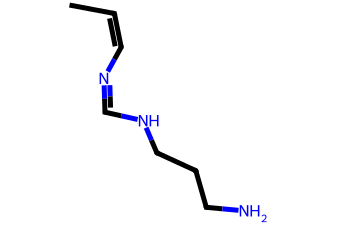 C/C=C\N=C/NCCCN